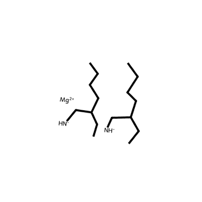 CCCCC(CC)C[NH-].CCCCC(CC)C[NH-].[Mg+2]